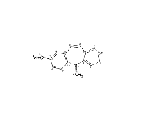 C=C1c2ccccc2C=Cc2cc(OC)ccc21